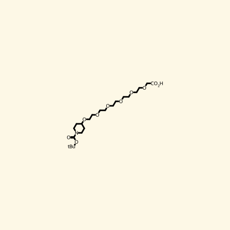 CC(C)(C)OC(=O)N1CCC(OCCOCCOCCOCCOCCOCC(=O)O)CC1